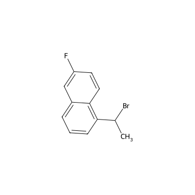 CC(Br)c1cccc2cc(F)ccc12